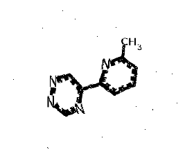 Cc1cccc(-c2cnncn2)n1